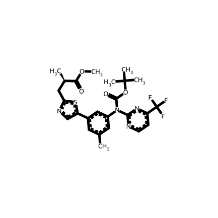 COC(=O)[C@H](C)Cc1ncc(-c2cc(C)cc(N(C(=O)OC(C)(C)C)c3nccc(C(F)(F)F)n3)c2)s1